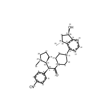 [C-]#[N+]c1ccc([C@H](C(=O)N2CCN(c3ncnc4c3[C@H](C)C[C@H]4O)CC2)[C@@H]2CCCN2C)cc1